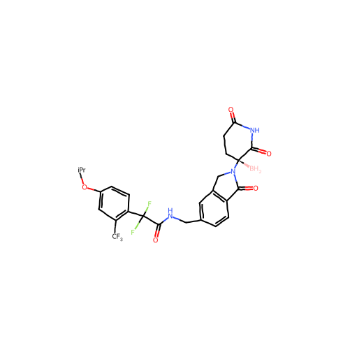 B[C@@]1(N2Cc3cc(CNC(=O)C(F)(F)c4ccc(OC(C)C)cc4C(F)(F)F)ccc3C2=O)CCC(=O)NC1=O